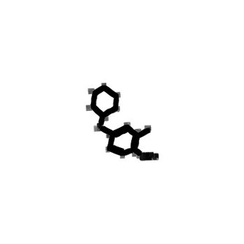 COc1ccc(SC2CCCCC2)cc1C